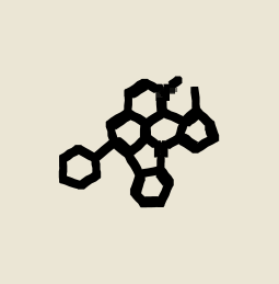 Cc1cccc2c1c1c3c(cc[n+]1C)cc(C1CCCCC1)c1c4ccccc4n2c13